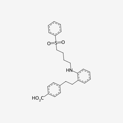 O=C(O)c1ccc(CCc2ccccc2NCCCCS(=O)(=O)c2ccccc2)cc1